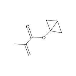 C=C(C)C(=O)OC12CC1C2